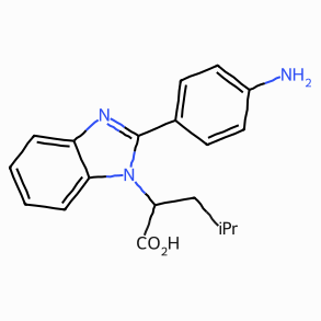 CC(C)CC(C(=O)O)n1c(-c2ccc(N)cc2)nc2ccccc21